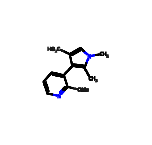 COc1ncccc1-c1c(C(=O)O)cn(C)c1C